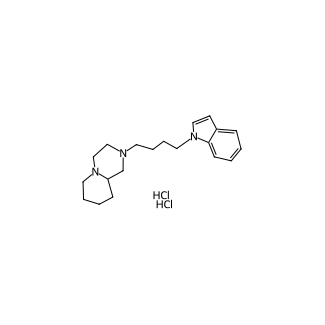 Cl.Cl.c1ccc2c(c1)ccn2CCCCN1CCN2CCCCC2C1